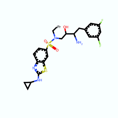 CC(C)CN(CC(O)C(N)Cc1cc(F)cc(F)c1)S(=O)(=O)c1ccc2nc(NC3CC3)sc2c1